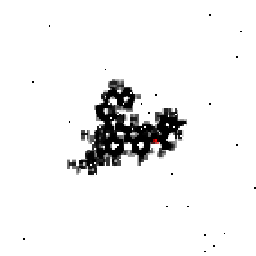 C[C@H](Oc1ccc2c(=O)n(C3=CC=C(Cl)C4C(NS(C)(=O)=O)=NN(C)C34C)c([C@H](Cc3cc(F)cc(F)c3)NC(=O)Cn3nc(C(F)F)c4c3C(F)(F)[C@@H]3C[C@H]43)nc2n1)C1CCCC1